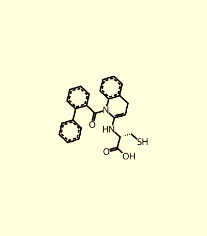 O=C(O)[C@@H](CS)NC1=CCc2ccccc2N1C(=O)c1ccccc1-c1ccccc1